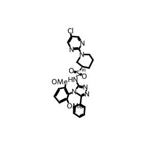 COc1cccc(OC)c1-n1c(NS(=O)(=O)[C@@H]2CCCN(c3ncc(Cl)cn3)C2)nnc1-c1ccccc1